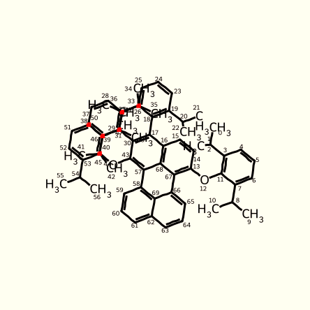 CC(C)c1cccc(C(C)C)c1Oc1ccc2c(-c3c(C(C)C)cccc3C(C)C)c(-c3c(C(C)C)cccc3C(C)C)c(Oc3c(C(C)C)cccc3C(C)C)c3c4cccc5cccc(c1c23)c54